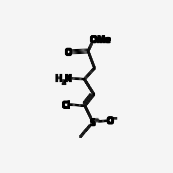 COC(=O)CC(N)/C=C(\Cl)[S+](C)[O-]